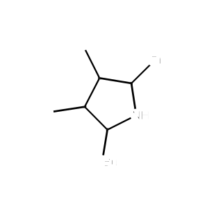 CCC(C)C1NC(CC)C(C)C1C